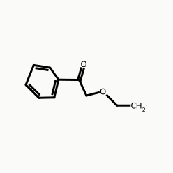 [CH2]COCC(=O)c1ccccc1